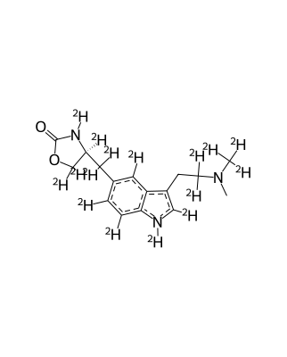 [2H]c1c(C([2H])([2H])[C@]2([2H])N([2H])C(=O)OC2([2H])[2H])c([2H])c2c(CC([2H])([2H])N(C)C([2H])([2H])[2H])c([2H])n([2H])c2c1[2H]